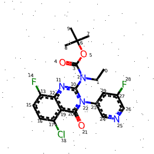 CCN(C(=O)OC(C)(C)C)c1nc2c(F)ccc(Cl)c2c(=O)n1-c1cncc(F)c1